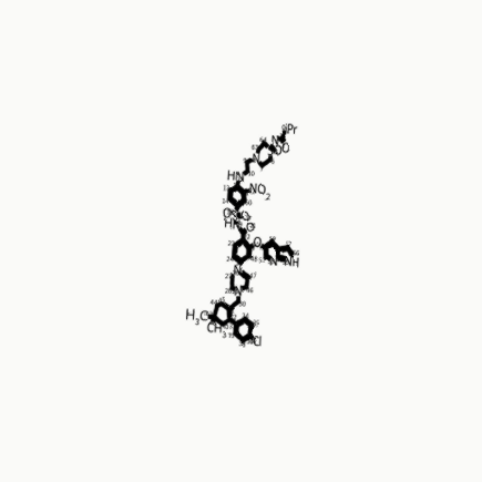 CC(C)C(=O)N=S1(=O)CCN(CCNc2ccc(S(=O)(=O)NC(=O)c3ccc(N4CCN(CC5=C(c6ccc(Cl)cc6)CC(C)(C)CC5)CC4)cc3Oc3cnc4[nH]ccc4c3)cc2[N+](=O)[O-])CC1